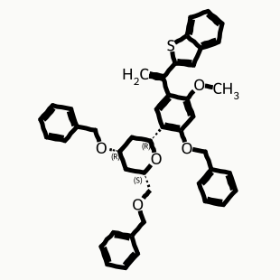 C=C(c1cc2ccccc2s1)c1cc([C@H]2C[C@@H](OCc3ccccc3)C[C@@H](COCc3ccccc3)O2)c(OCc2ccccc2)cc1OC